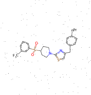 CCCc1ccc(Cc2csc(N3CCC(S(=O)(=O)c4cccc(C(F)(F)F)c4)CC3)n2)cc1